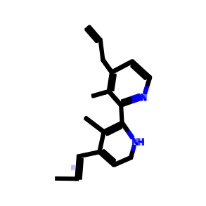 C=CCc1ccnc(C2=C(C)C(/C=C/C)=CCN2)c1C